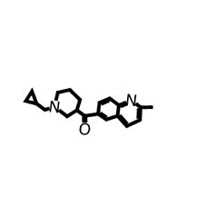 Cc1ccc2cc(C(=O)C3CCCN(CC4CC4)C3)ccc2n1